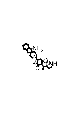 C=C(C1=NNCC1)c1c(OC)cc(N2CCC3(CC2)Cc2ccccc2[C@H]3N)n(C)c1=O